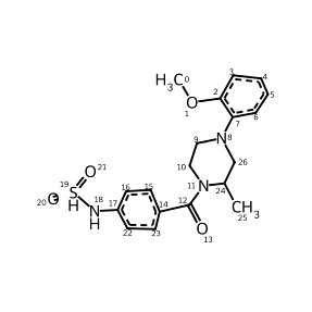 COc1ccccc1N1CCN(C(=O)c2ccc(N[SH](=O)=O)cc2)C(C)C1